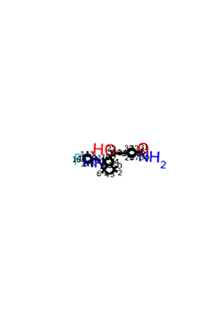 CC1(C)CCC(C)(C)c2c(NCc3ccc(F)cc3)cc(C(O)C#Cc3ccc(C(N)=O)cc3)cc21